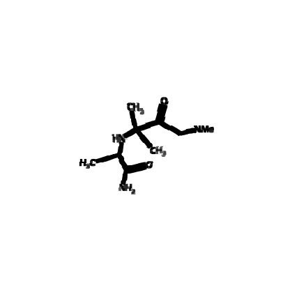 CNCC(=O)C(C)(C)NC(C)C(N)=O